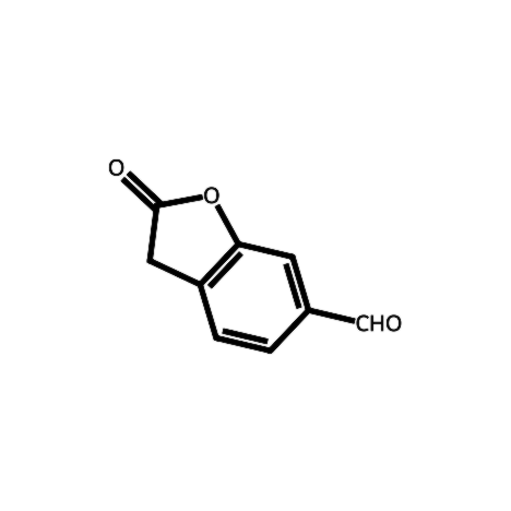 O=Cc1ccc2c(c1)OC(=O)C2